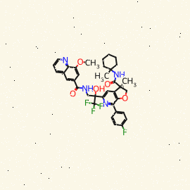 COc1cc(C(=O)NCC(O)(c2cc3c(c(-c4ccc(F)cc4)n2)OC[C@]3(C)C(=O)NC2(C)CCCCC2)C(F)(F)F)cc2cccnc12